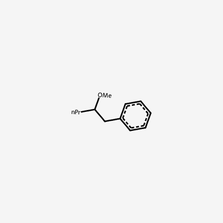 CCCC(Cc1ccccc1)OC